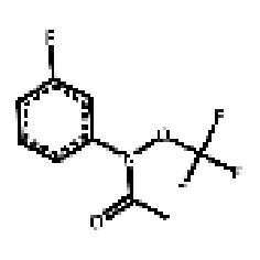 CC(=O)N(OC(F)(F)F)c1cccc(F)c1